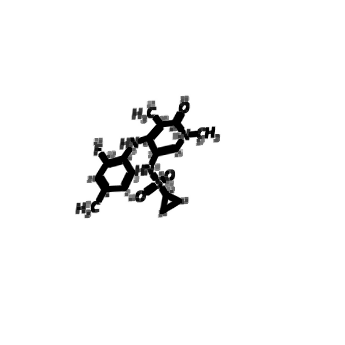 Cc1ccc(Nc2c(NS(=O)(=O)C3CC3)cn(C)c(=O)c2C)c(F)c1